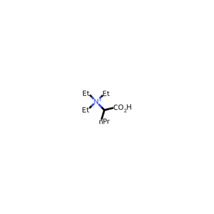 CCCC(C(=O)O)[N+](CC)(CC)CC